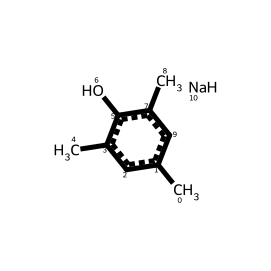 Cc1cc(C)c(O)c(C)c1.[NaH]